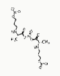 C[C@H](NCCCO[N+](=O)[O-])C(=O)O[N+](=O)OC(=O)[C@H](C)NCCCO[N+](=O)[O-]